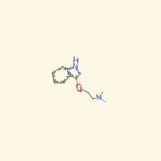 CN(C)CCOc1c[nH]c2ccccc12